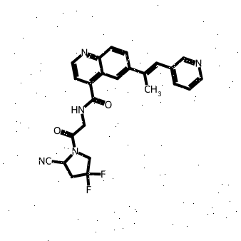 C/C(=C\c1cccnc1)c1ccc2nccc(C(=O)NCC(=O)N3CC(F)(F)CC3C#N)c2c1